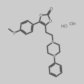 CSc1ccc(-c2oc(=O)oc2CCN2CCN(c3ccccc3)CC2)cc1.Cl.Cl